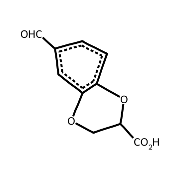 O=Cc1ccc2c(c1)OCC(C(=O)O)O2